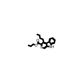 CCCCc1c(C(=O)OCCC)ncc2[nH]c3ccccc3c12